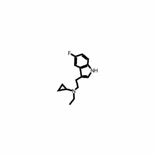 CCN(CCc1c[nH]c2ccc(F)cc12)C1CC1